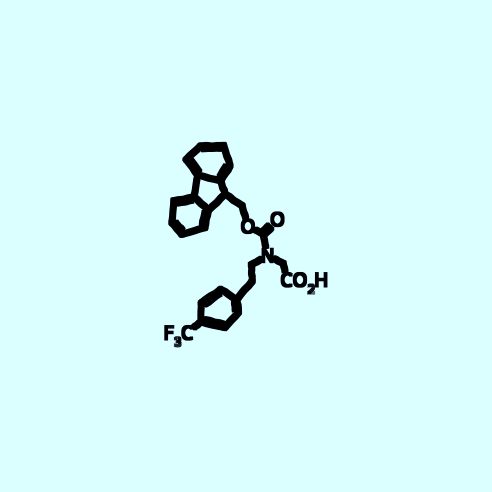 O=C(O)CN(CCc1ccc(C(F)(F)F)cc1)C(=O)OCC1c2ccccc2-c2ccccc21